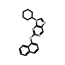 c1ccc2c(Oc3ncc4ncn(C5CCCCC5)c4n3)cccc2c1